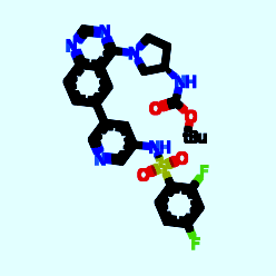 CC(C)(C)OC(=O)N[C@@H]1CCN(c2ncnc3ccc(-c4cncc(NS(=O)(=O)c5ccc(F)cc5F)c4)cc23)C1